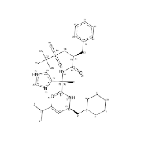 CC(C)C=C[C@H](CC1CCCCC1)NC(=O)[C@@](C)(NC(=O)[C@H](Cc1ccccc1)CS(=O)(=O)C(C)(C)C)c1c[nH]cn1